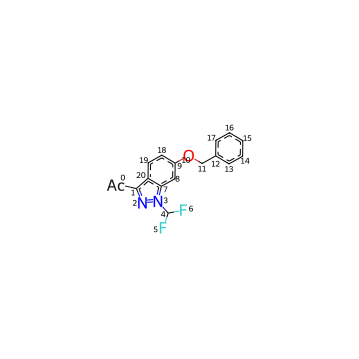 CC(=O)c1nn(C(F)F)c2cc(OCc3ccccc3)ccc12